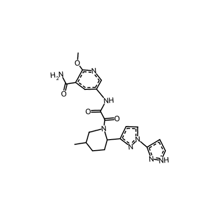 COc1ncc(NC(=O)C(=O)N2CC(C)CCC2c2ccn(-c3cc[nH]n3)n2)cc1C(N)=O